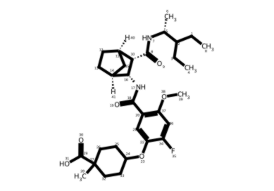 CCC(CC)[C@@H](C)NC(=O)[C@H]1[C@@H]2CC[C@@H](C2)[C@H]1NC(=O)c1cc(OC2CCC(C)(C(=O)O)CC2)c(F)cc1OC